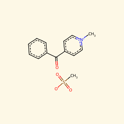 CS(=O)(=O)[O-].C[n+]1ccc(C(=O)c2ccccc2)cc1